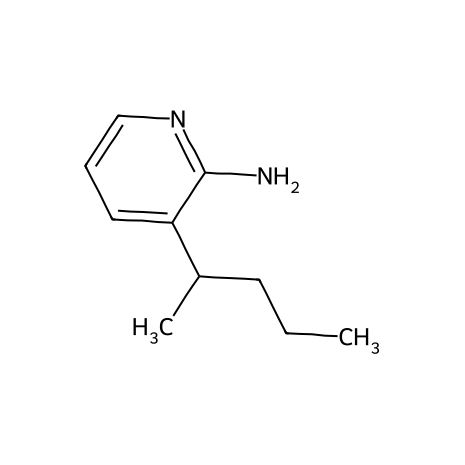 CCCC(C)c1cccnc1N